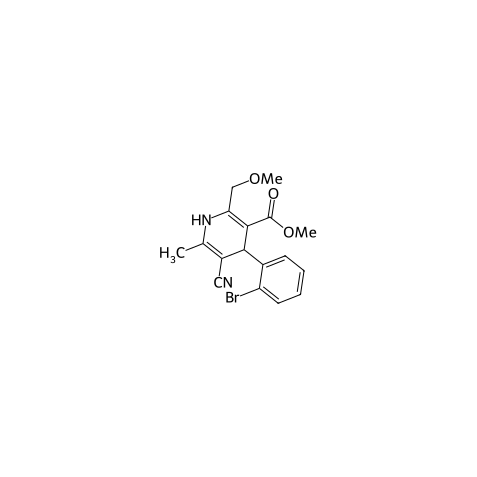 COCC1=C(C(=O)OC)C(c2ccccc2Br)C(C#N)=C(C)N1